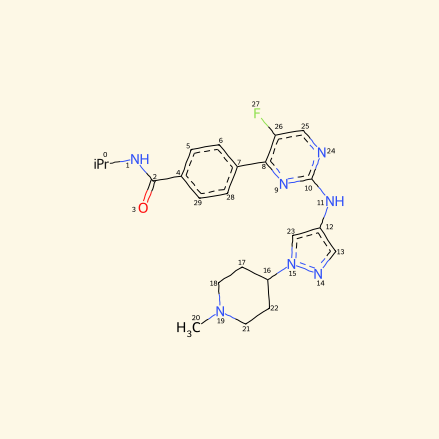 CC(C)NC(=O)c1ccc(-c2nc(Nc3cnn(C4CCN(C)CC4)c3)ncc2F)cc1